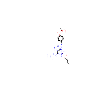 CCCCOc1nc(N)c2ncn(Cc3ccc(OC(C)=O)cc3)c2n1